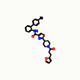 CCc1ccc(-c2ccccc2NC(=O)c2csc(C3CCN(C(=O)CCc4ccco4)CC3)n2)cc1